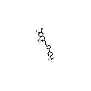 NC(CCN1CCC(c2ccc(C(F)(F)F)cc2)C1)Cc1cc(F)c(F)cc1F